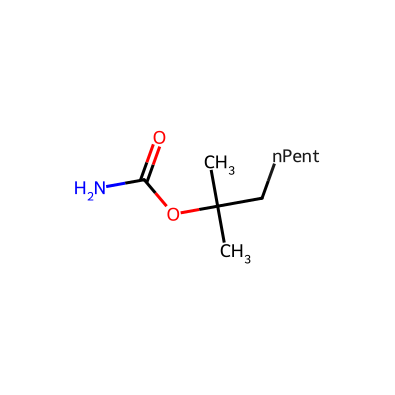 CCCCCCC(C)(C)OC(N)=O